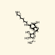 NCCCCCCNc1nc(S)c2ncn(C3O[C@H](CO)[C@H](O)C3O)c2n1